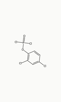 O=P(Cl)(Cl)Oc1ccc(Cl)cc1Cl